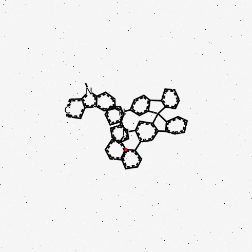 Cn1c2ccccc2c2cc(N(c3ccccc3)c3ccc4c(c3)C3(c5ccccc5-4)c4ccccc4-c4cc(-c5ccccc5)c(N(c5ccccc5)c5ccccc5)cc43)ccc21